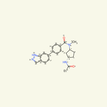 CCC(=O)N[C@H]1CCC(N(C)C(=O)c2ccc(-c3ccc4cn[nH]c4c3)cc2)C1